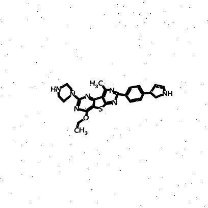 CCOc1nc(N2CCNCC2)nc2c1sc1nc(-c3ccc(C4C=CNC4)cc3)nc(C)c12